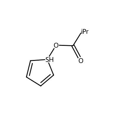 CC(C)C(=O)O[SH]1C=CC=C1